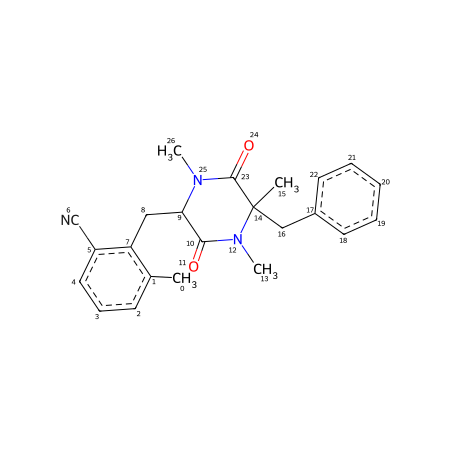 Cc1cccc(C#N)c1CC1C(=O)N(C)C(C)(Cc2ccccc2)C(=O)N1C